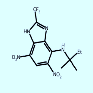 CCC(C)(C)Nc1c([N+](=O)[O-])cc([N+](=O)[O-])c2[nH]c(C(F)(F)F)nc12